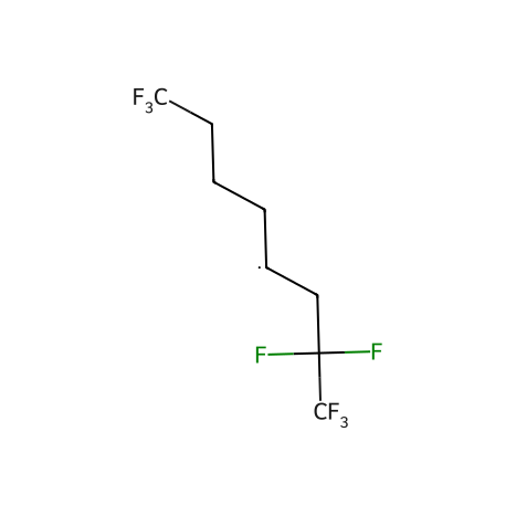 FC(F)(F)CCC[CH]CC(F)(F)C(F)(F)F